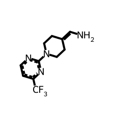 NC=C1CCN(c2nccc(C(F)(F)F)n2)CC1